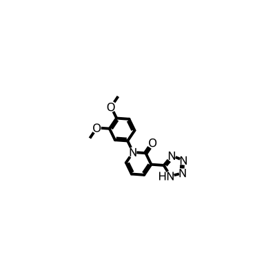 COc1ccc(-n2cccc(-c3nnn[nH]3)c2=O)cc1OC